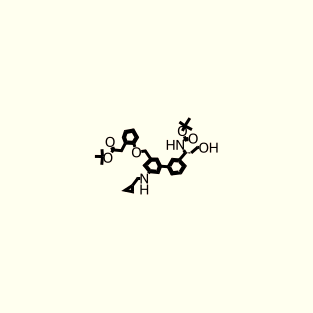 CC(C)(C)OC(=O)Cc1ccccc1OCc1cc(NCC2CC2)cc(-c2cccc([C@@H](CCO)NC(=O)OC(C)(C)C)c2)c1